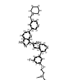 CN(C)CCOc1cc(F)cc(-c2cncc3[nH]c(-c4n[nH]c5ccc(-c6cncc(CN7CCCCC7)c6)nc45)cc23)c1